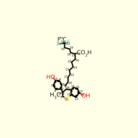 C[C@]1(c2ccc(O)cc2)CSc2cc(O)ccc2[C@H]1CCCCCCCCC(CCCC(F)(F)C(F)(F)F)C(=O)O